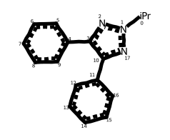 CC(C)n1nc(-c2ccccc2)c(-c2ccccc2)n1